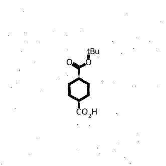 CC(C)(C)OC(=O)[C@H]1CC[C@@H](C(=O)O)CC1